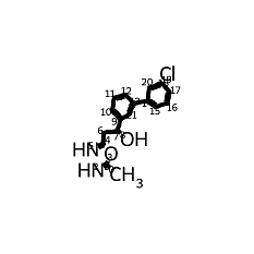 CC(=N)OC(=N)CC(O)c1cccc(-c2cccc(Cl)c2)c1